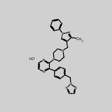 Cc1nn(-c2ccccc2)cc1CN1CCN(c2nccnc2-c2ccc(Cn3nccn3)cc2)CC1.Cl